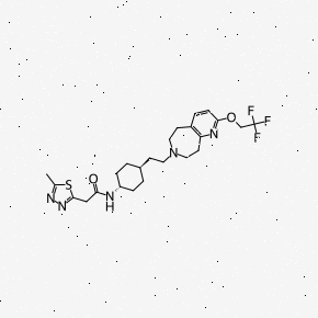 Cc1nnc(CC(=O)N[C@H]2CC[C@H](CCN3CCc4ccc(OCC(F)(F)F)nc4CC3)CC2)s1